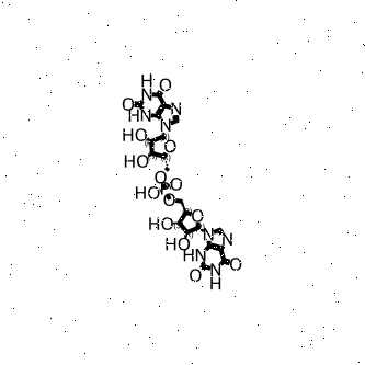 O=c1[nH]c(=O)c2ncn([C@@H]3O[C@H](COP(=O)(O)OC[C@H]4O[C@@H](n5cnc6c(=O)[nH]c(=O)[nH]c65)[C@H](O)[C@@H]4O)[C@@H](O)[C@H]3O)c2[nH]1